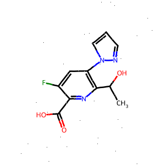 CC(O)c1nc(C(=O)O)c(F)cc1-n1cccn1